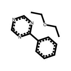 CCOCC.c1ccc(-c2ncncn2)cc1